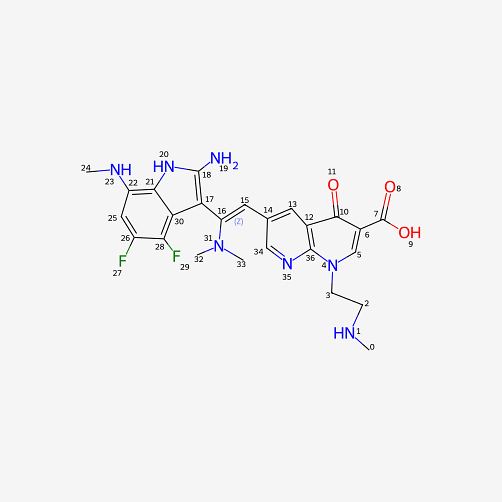 CNCCn1cc(C(=O)O)c(=O)c2cc(/C=C(/c3c(N)[nH]c4c(NC)cc(F)c(F)c34)N(C)C)cnc21